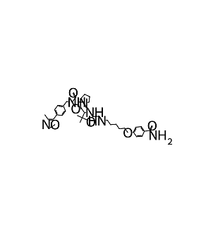 Cc1ncoc1-c1ccc(CNC(=O)[C@@H]2CCCN2C(=O)[C@@H](NC(=O)CNCCCCCOc2ccc(C(N)=O)cc2)C(C)(C)C)cc1